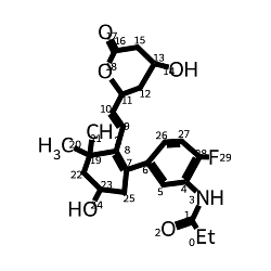 CCC(=O)Nc1cc(C2=C(C=CC3CC(O)CC(=O)O3)C(C)(C)CC(O)C2)ccc1F